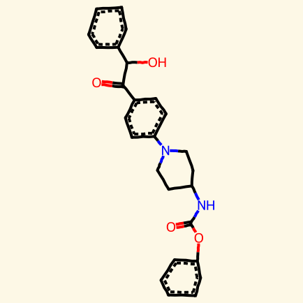 O=C(NC1CCN(c2ccc(C(=O)C(O)c3ccccc3)cc2)CC1)Oc1ccccc1